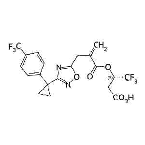 C=C(Cc1nc(C2(c3ccc(C(F)(F)F)cc3)CC2)no1)C(=O)O[C@@H](CC(=O)O)C(F)(F)F